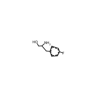 NC(CO)Cc1ccc(F)cc1